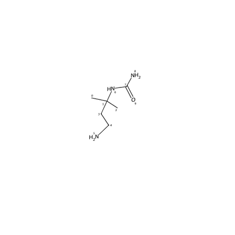 CC(C)(CCN)NC(N)=O